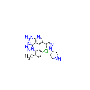 Cc1ccc(Cl)cc1-n1nnnc1-c1cc(-c2cnn(C3CCNCC3)c2)cnc1N